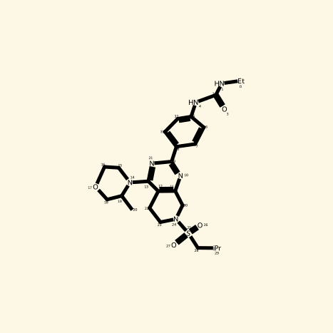 CCNC(=O)Nc1ccc(-c2nc3c(c(N4CCOCC4C)n2)CCN(S(=O)(=O)CC(C)C)C3)cc1